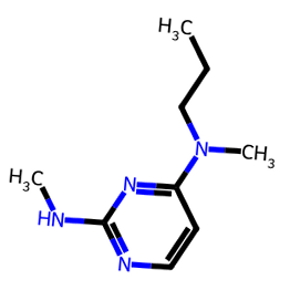 CCCN(C)c1ccnc(NC)n1